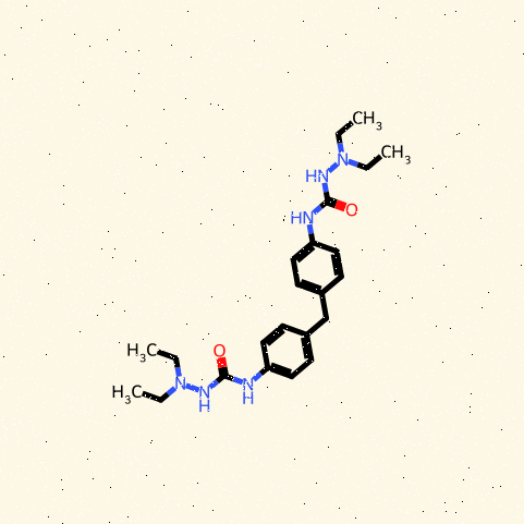 CCN(CC)NC(=O)Nc1ccc(Cc2ccc(NC(=O)NN(CC)CC)cc2)cc1